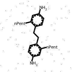 CCCCCc1cc(N)ccc1CCc1ccc(N)cc1CCCCC